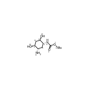 CC(C)(C)OC(=O)N[C@@H]1C[C@H](N)[C@@H](O)C[C@H]1O